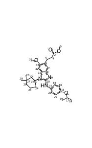 COC(=O)CCc1cc2nc(Nc3ccc(OC(C)C)cc3)n([C@H]3CCCC(C)(C)C3)c2cc1OC